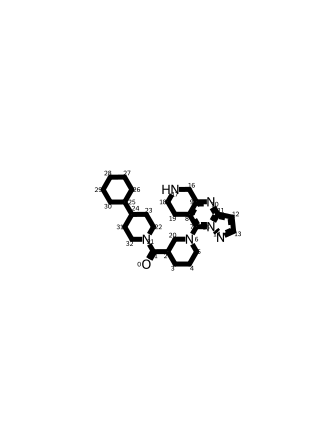 O=C(C1CCCN(c2c3c(nc4ccnn24)CNCC3)C1)N1CCC(C2CCCCC2)CC1